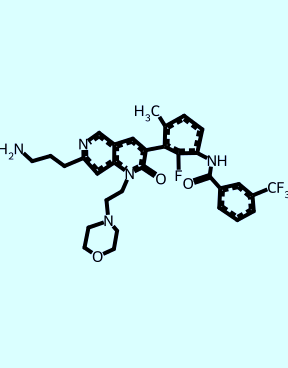 Cc1ccc(NC(=O)c2cccc(C(F)(F)F)c2)c(F)c1-c1cc2cnc(CCCN)cc2n(CCN2CCOCC2)c1=O